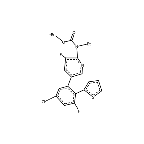 CCN(C(=O)OC(C)(C)C)c1ncc(-c2cc(Cl)cc(F)c2-c2cccs2)cc1F